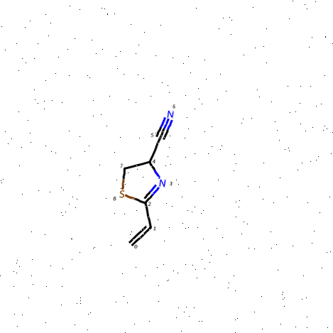 C=CC1=NC(C#N)CS1